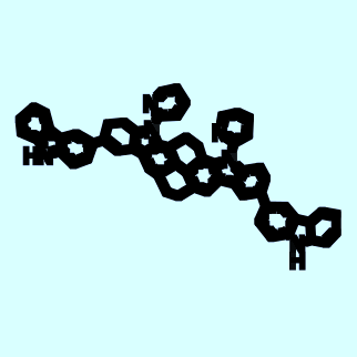 C1=CC2Nc3ccc(-c4ccc5c(c4)c4cc6c7c(c4n5-c4ccccn4)CCc4c-7c(cc5c7c(n(-c8ccccn8)c45)CCC(c4ccc5[nH]c8ccccc8c5c4)=C7)CC6)cc3C2C=C1